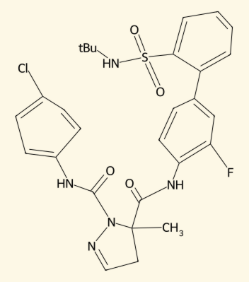 CC(C)(C)NS(=O)(=O)c1ccccc1-c1ccc(NC(=O)C2(C)CC=NN2C(=O)Nc2ccc(Cl)cc2)c(F)c1